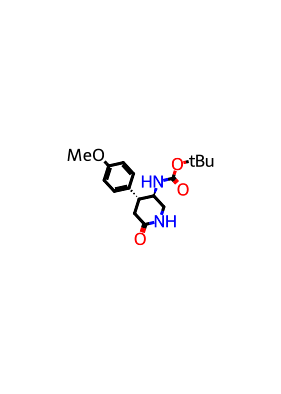 COc1ccc([C@H]2CC(=O)NC[C@@H]2NC(=O)OC(C)(C)C)cc1